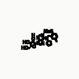 CSc1ccc(C)cc1CN(c1ncnc2c1ncn2[C@@H]1O[C@H](CO)[C@@H](O)[C@H]1O)C1CCCC1